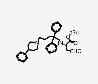 CC(C)(C)OC(=O)N(CC=O)NCC(CCCN1CCC(c2ccccc2)CC1)(c1ccccc1)c1ccccc1